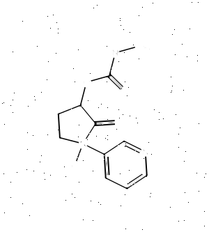 CC(C)(C)NC(=O)OC1CC[N+]([O-])(c2cccnc2)C1=O